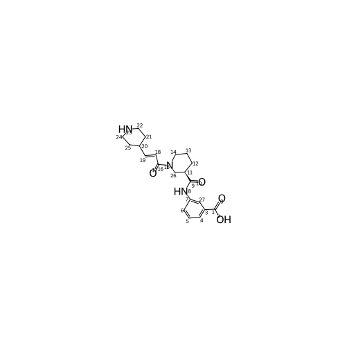 O=C(O)c1cccc(NC(=O)[C@@H]2CCCN(C(=O)/C=C/C3CCNCC3)C2)c1